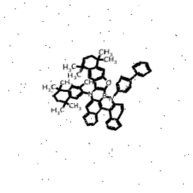 Cc1cc2c(cc1N1c3cc4ccccc4c4c3B(c3oc5cc6c(cc5c31)C(C)(C)CCC6(C)C)N(c1ccc(-c3ccccc3)cc1)c1ccc3ccccc3c1-4)C(C)(C)CCC2(C)C